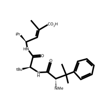 CN[C@H](C(=O)N[C@H](C(=O)N[C@H](/C=C(\C)C(=O)O)C(C)C)C(C)(C)C)C(C)(C)c1ccccc1